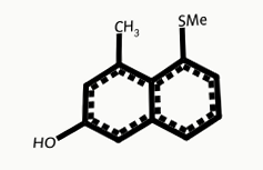 CSc1cccc2cc(O)cc(C)c12